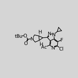 CC(=O)c1nc(Cl)c(F)c2c1c(C1[C@H]3CN(C(=O)OC(C)(C)C)C[C@@H]13)nn2C1CC1